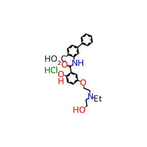 CCN(CCO)CCOc1ccc(O)c(C(=O)Nc2cc(-c3ccccc3)ccc2C(=O)O)c1.Cl